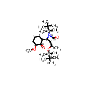 COC1CCCC([C@@H]2[C@@H]([C@@H](C)O[Si](C)(C)C(C)(C)C)C(=O)N2[Si](C)(C)C(C)(C)C)C1=O